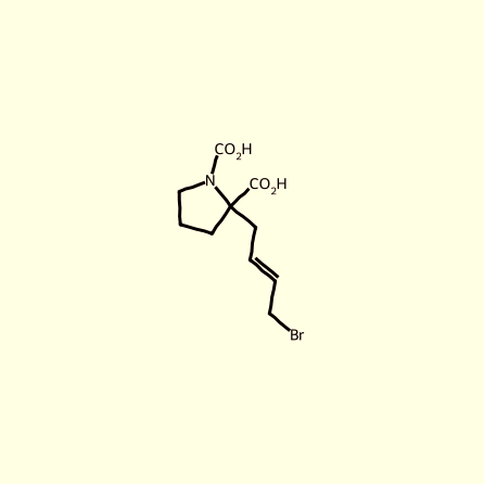 O=C(O)N1CCCC1(CC=CCBr)C(=O)O